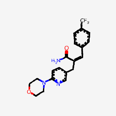 NC(=O)C(=Cc1ccc(C(F)(F)F)cc1)Cc1ccc(N2CCOCC2)nc1